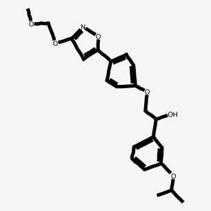 COCOc1cc(-c2ccc(OCC(O)c3cccc(OC(C)C)c3)cc2)on1